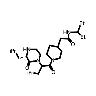 CCC(CC)NC(=O)CC1CCN(C(=O)C(CC(C)C)N2CCN[C@@H](CC(C)C)C2=O)CC1